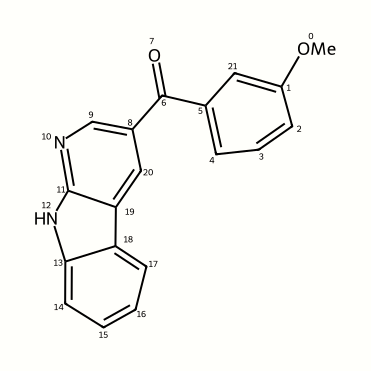 COc1cccc(C(=O)c2cnc3[nH]c4ccccc4c3c2)c1